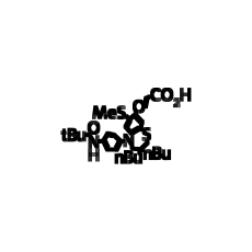 CCCCC1(CCCC)CSc2cc(O/C=C/C(=O)O)c(SC)cc2N(c2ccc(NC(=O)C(C)(C)C)cc2)C1